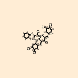 CC(C)N[C@H](Cc1ccccc1)C(=O)N1C/C(=C\c2ccc(Cl)c(Cl)c2)C(=O)/C(=C/c2ccc(Cl)c(Cl)c2)C1